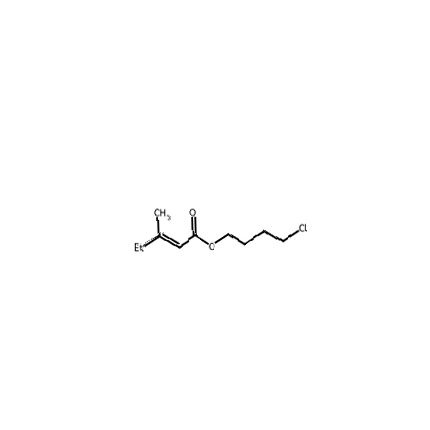 CC/C(C)=C/C(=O)OCCCCCl